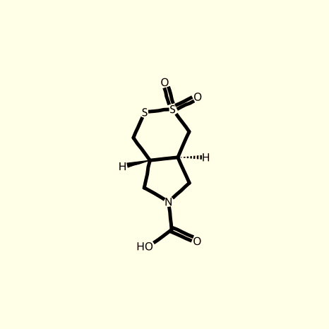 O=C(O)N1C[C@@H]2CS(=O)(=O)SC[C@H]2C1